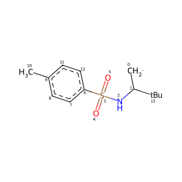 [CH2]C(NS(=O)(=O)c1ccc(C)cc1)C(C)(C)C